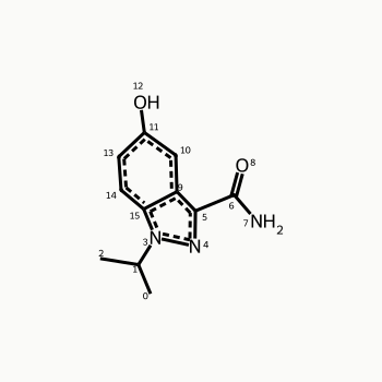 CC(C)n1nc(C(N)=O)c2cc(O)ccc21